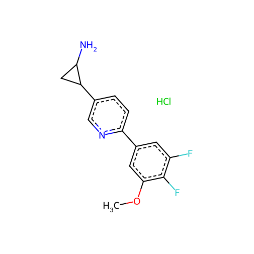 COc1cc(-c2ccc(C3CC3N)cn2)cc(F)c1F.Cl